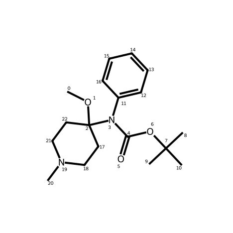 COC1(N(C(=O)OC(C)(C)C)c2ccccc2)CCN(C)CC1